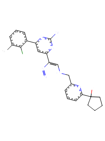 N#Cc1cccc(-c2cc(/C(=C/NCc3cccc(C4(O)CCCC4)n3)N=N)nc(N)n2)c1F